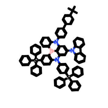 CC(C)(C)c1ccc(-c2ccc(N3c4ccccc4B4c5cc([Si](c6ccccc6)(c6ccccc6)c6ccccc6)ccc5N(c5ccc([Si](c6ccccc6)(c6ccccc6)c6ccccc6)cc5)c5cc(-n6c7ccccc7c7ccccc76)cc3c54)cc2)cc1